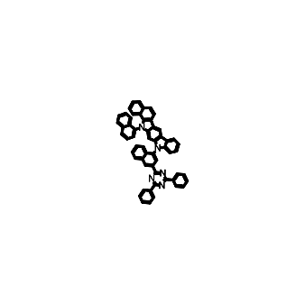 c1ccc(-c2nc(-c3ccccc3)nc(-c3cc(-n4c5ccccc5c5cc6c7ccc8ccccc8c7n(-c7cccc8ccccc78)c6cc54)c4ccccc4c3)n2)cc1